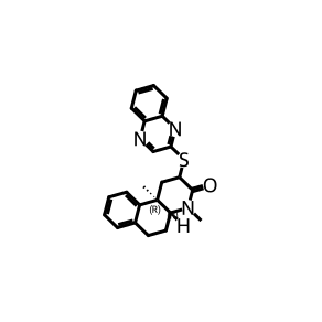 CN1C(=O)C(Sc2cnc3ccccc3n2)C[C@]2(C)c3ccccc3CC[C@@H]12